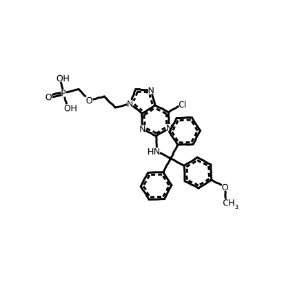 COc1ccc(C(Nc2nc(Cl)c3ncn(CCOCP(=O)(O)O)c3n2)(c2ccccc2)c2ccccc2)cc1